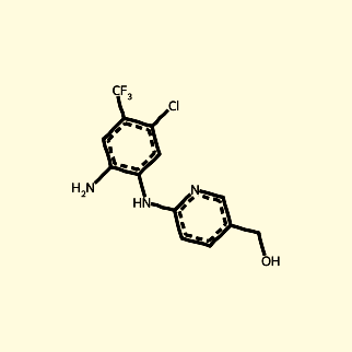 Nc1cc(C(F)(F)F)c(Cl)cc1Nc1ccc(CO)cn1